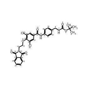 CC(C)(C)OC(=O)NCc1ccc(NC(=O)c2cc(Cl)c(OCCN3C(=O)c4ccccc4C3=O)c(Cl)c2)cc1